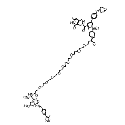 CCN(c1cc(-c2ccc(CN3CCOCC3)cc2)cc(C(=O)NCc2c(C)cc(C)[nH]c2=O)c1C)C1CCN(C(=O)CCOCCOCCOCCOCCOCCOCCOCCOCCOCCC(=O)N[C@@H](C(=O)N2C[C@H](O)C[C@H]2C(=O)NCc2ccc(-c3scnc3C)cc2)C(C)(C)C)CC1